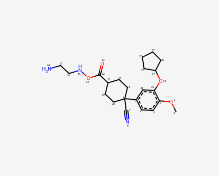 COc1ccc(C2(C#N)CCC(C(=O)ONCCN)CC2)cc1OC1CCCC1